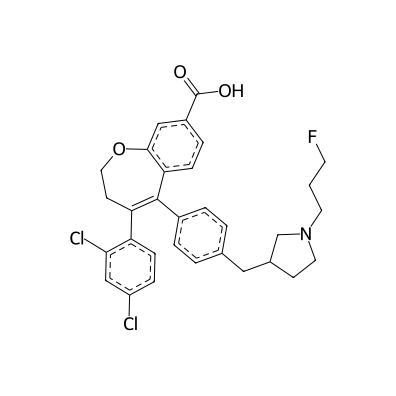 O=C(O)c1ccc2c(c1)OCCC(c1ccc(Cl)cc1Cl)=C2c1ccc(CC2CCN(CCCF)C2)cc1